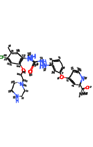 CNC(=O)c1cc(Oc2cccc(NNC(=O)Nc3cc(C)c(Cl)cc3OCCN3CCNCC3)c2)ccn1